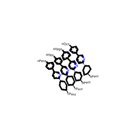 CCCCCCCCc1ccc(-c2ccc([C@H]3CC[C@H](CCCCC)CC3)nc2)cc1.CCCCCCCc1ccc(-c2ccc([C@H]3CC[C@H](CCCCC)CC3)nc2)cc1.CCCCCCc1ccc(-c2ccc([C@H]3CC[C@H](CCCCC)CC3)nc2)cc1.CCCCCc1ccc(-c2ccc([C@H]3CC[C@H](CCCCC)CC3)nc2)cc1